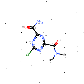 CCN(C(=O)c1nc(Cl)nc(C(N)=O)n1)C(C)C